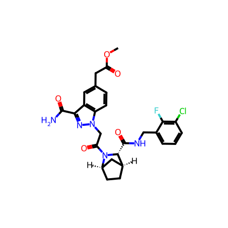 COC(=O)Cc1ccc2c(c1)c(C(N)=O)nn2CC(=O)N1[C@@H]2CC[C@@H](C2)[C@H]1C(=O)NCc1cccc(Cl)c1F